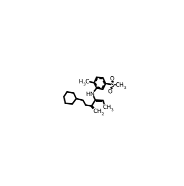 C=C(CCC1CCCCC1)/C(=C\C)Nc1cc(S(C)(=O)=O)ccc1C